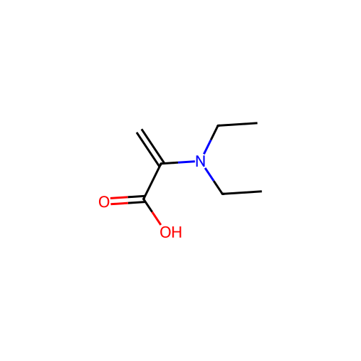 C=C(C(=O)O)N(CC)CC